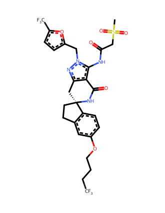 CS(=O)(=O)CC(=O)Nc1c2c(nn1Cc1ccc(C(F)(F)F)o1)C[C@]1(CCc3cc(OCCCC(F)(F)F)ccc31)NC2=O